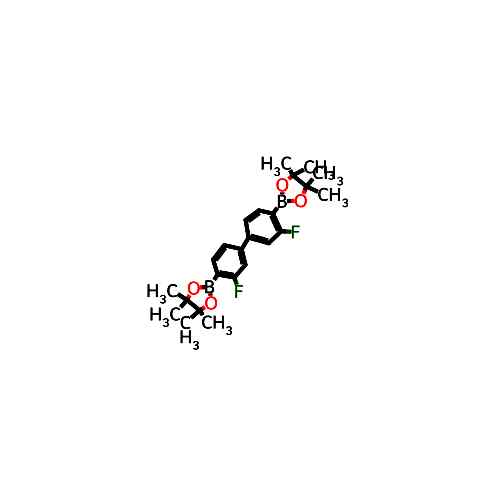 CC1(C)OB(c2ccc(-c3ccc(B4OC(C)(C)C(C)(C)O4)c(F)c3)cc2F)OC1(C)C